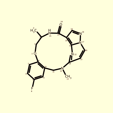 CC1COc2ccc(F)cc2CN(C)c2ccn3ncc(c3n2)C(=O)N1